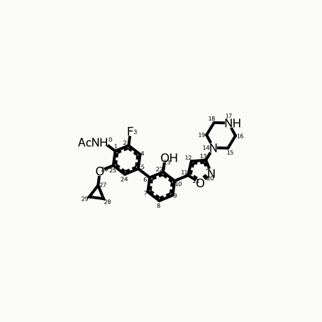 CC(=O)Nc1c(F)cc(-c2cccc(-c3cc(N4CCNCC4)no3)c2O)cc1OC1CC1